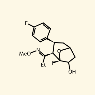 CCC(=NOC)[C@H]1[C@@H](c2ccc(F)cc2)CC2CC(O)[C@H]1O2